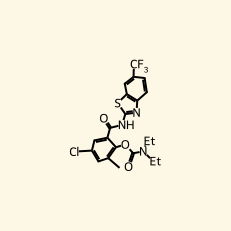 CCN(CC)C(=O)Oc1c(C)cc(Cl)cc1C(=O)Nc1nc2ccc(C(F)(F)F)cc2s1